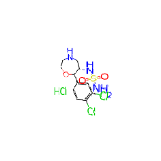 Cl.NS(=O)(=O)N[C@H]1CNCCO[C@@H]1c1ccc(Cl)c(Cl)c1